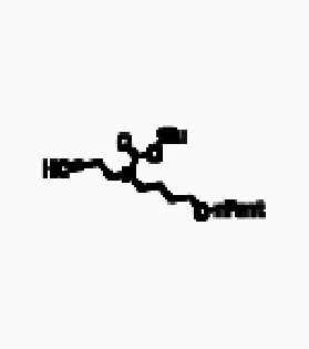 C#CCCN(CCCCOCCCCC)C(=O)OC(C)(C)C